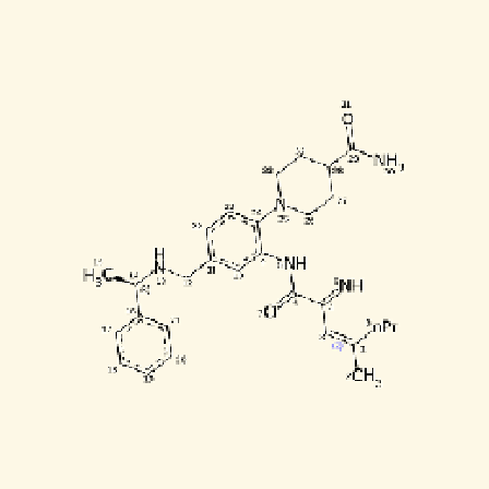 CCC/C(C)=C\C(=N)C(=O)Nc1cc(CN[C@H](C)c2ccccc2)ccc1N1CCC(C(N)=O)CC1